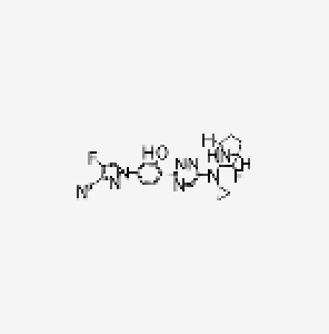 N#Cc1nn(-c2ccc(-c3ncc(N(C4CC4)[C@H]4C[C@@H]5CC[C@@H](N5)[C@H]4F)nn3)c(O)c2)cc1F